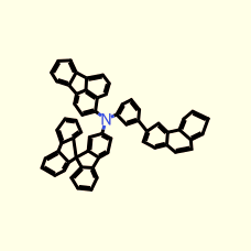 c1cc(-c2ccc3ccc4ccccc4c3c2)cc(N(c2ccc3c(c2)C2(c4ccccc4-c4ccccc42)c2ccccc2-3)c2ccc3c4c(cccc24)-c2ccccc2-3)c1